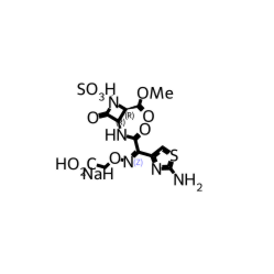 COC(=O)[C@H]1[C@@H](NC(=O)/C(=N\OCC(=O)O)c2csc(N)n2)C(=O)N1S(=O)(=O)O.[NaH]